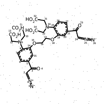 [N-]=[N+]=CC(=O)c1ccc(N(CC(=O)O)CC(=O)O)c(OCCOc2cc(C(=O)C=[N+]=[N-])ccc2N(CC(=O)O)CC(=O)O)c1